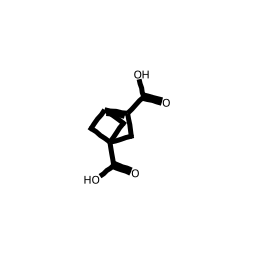 O=C(O)C1=C2CC(C(=O)O)(C2)C1